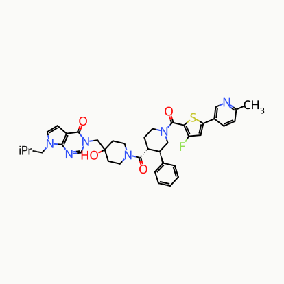 Cc1ccc(-c2cc(F)c(C(=O)N3CC[C@@H](C(=O)N4CCC(O)(Cn5cnc6c(ccn6CC(C)C)c5=O)CC4)[C@H](c4ccccc4)C3)s2)cn1